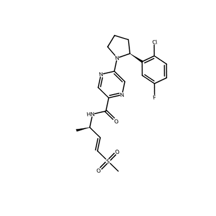 C[C@H](/C=C/S(C)(=O)=O)NC(=O)c1cnc(N2CCC[C@H]2c2cc(F)ccc2Cl)cn1